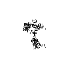 C=CC[C@@H]1O[C@H]2[C@@H]3O[C@H]4C[C@](CC[C@H]5CC(=C)[C@H](CC[C@H]6C[C@@H](C)C(=C)[C@@H](C[C@@H]7O[C@H](C[C@@H](CO[Si](CC)(CC)CC)O[Si](CC)(CC)CC)[C@H](OC)[C@H]7CCO)O6)O5)(O[C@@H]3[C@H]1O[Si](CC)(CC)CC)O[C@H]24